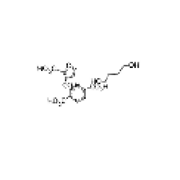 O=C(O)c1ccc(C(=O)O)cc1.O=C(O)c1ccoc1C(=O)O.OCCCCO